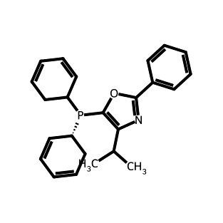 CC(C)c1nc(-c2ccccc2)oc1P(C1C=CC=CC1)[C@H]1C=CC=CC1